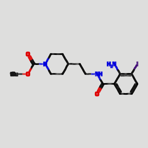 CC(C)(C)OC(=O)N1CCC(CCNC(=O)c2cccc(I)c2N)CC1